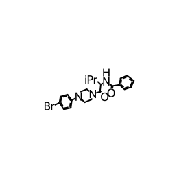 CC(C)C(NC(=O)c1ccccc1)C(=O)N1CCN(c2ccc(Br)cc2)CC1